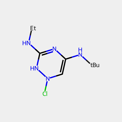 CCNC1=NC(NC(C)(C)C)=CN(Cl)N1